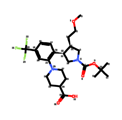 COCC[C@H]1CN(C(=O)OC(C)(C)C)C[C@@H]1c1ccc(C(F)(F)F)cc1N1CCC(C(=O)O)CC1